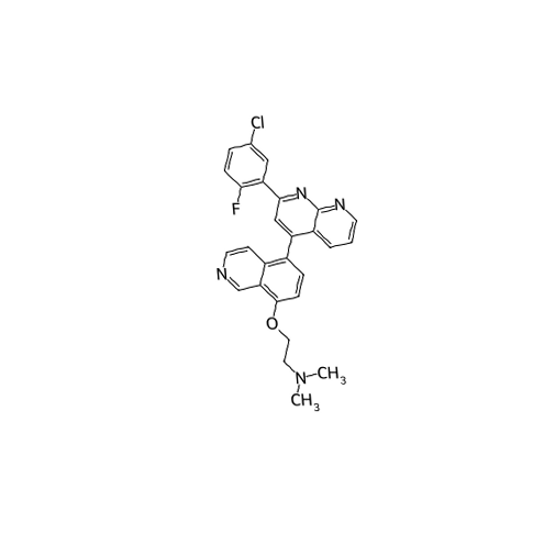 CN(C)CCOc1ccc(-c2cc(-c3cc(Cl)ccc3F)nc3ncccc23)c2ccncc12